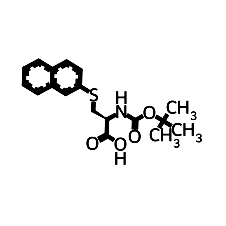 CC(C)(C)OC(=O)N[C@H](CSc1ccc2ccccc2c1)C(=O)O